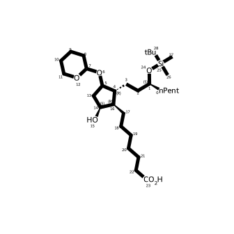 CCCCC[C@@H](CC[C@H]1C(OC2CCCCO2)C[C@H](O)[C@@H]1CCCCCCC(=O)O)O[Si](C)(C)C(C)(C)C